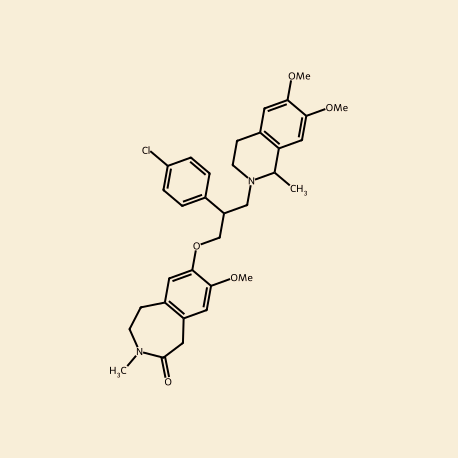 COc1cc2c(cc1OC)C(C)N(CC(COc1cc3c(cc1OC)CC(=O)N(C)CC3)c1ccc(Cl)cc1)CC2